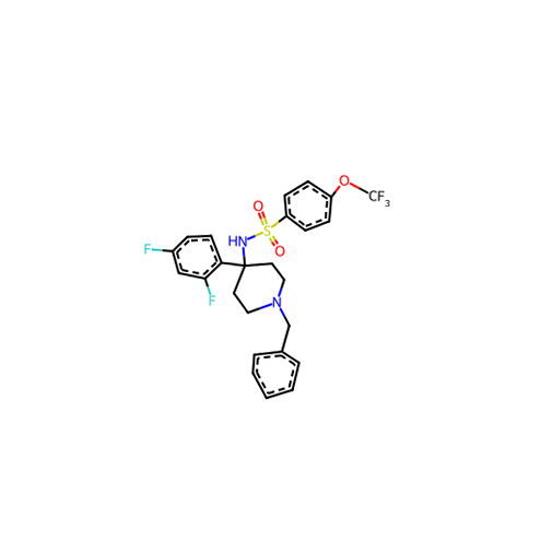 O=S(=O)(NC1(c2ccc(F)cc2F)CCN(Cc2ccccc2)CC1)c1ccc(OC(F)(F)F)cc1